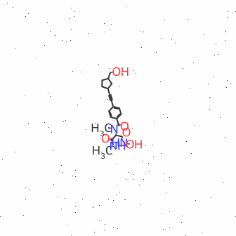 CNC(=O)C(C(=O)NO)N(C)C(=O)c1ccc(C#CC2CCC(CO)C2)cc1